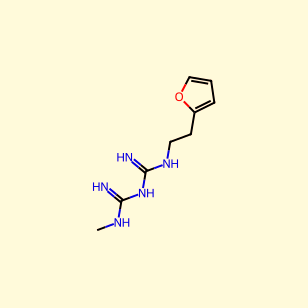 CNC(=N)NC(=N)NCCc1ccco1